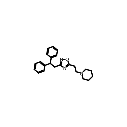 c1ccc(C(Cc2noc(CCN3CCCCC3)n2)c2ccccc2)cc1